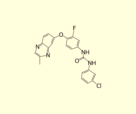 Cc1cnc2ccc(Oc3ccc(NC(=O)Nc4cccc(Cl)c4)cc3F)cc2n1